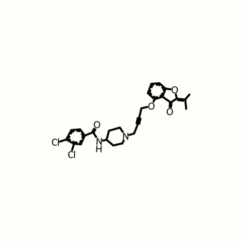 CC(C)=C1Oc2cccc(OCC#CCN3CCC(NC(=O)c4ccc(Cl)c(Cl)c4)CC3)c2C1=O